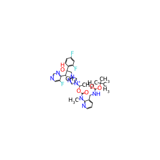 CC(OC(=O)N(C)c1ncccc1CNC(=O)OC(C)(C)C)[n+]1cnn(C[C@](O)(c2ccc(F)cc2F)[C@@H](C)c2ncncc2F)c1